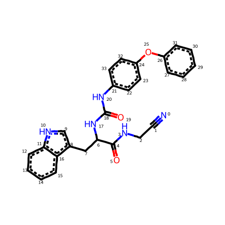 N#CCNC(=O)C(Cc1c[nH]c2ccccc12)NC(=O)Nc1ccc(Oc2ccccc2)cc1